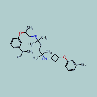 CC(C)[C@H](C)c1cccc(O[C@@H](C)CNC(C)(C)CCC(C)(C)N[C@H]2C[C@@H](Oc3cccc(C(C)(C)C)c3)C2)c1